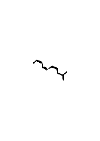 C\C=C/C=N\C=C/CC(C)C